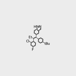 CC/C(=C(/c1ccc(C(C)(C)C)cc1)c1ccc2[nH]ncc2c1)c1ccc(F)cc1Cl